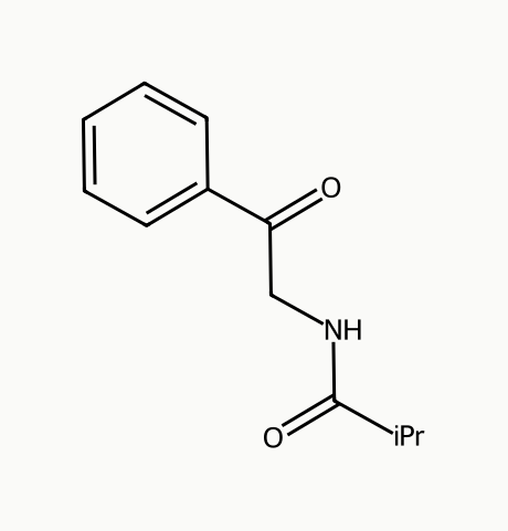 CC(C)C(=O)NCC(=O)c1ccccc1